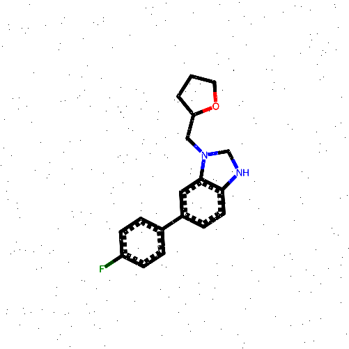 Fc1ccc(-c2ccc3c(c2)N(CC2CCCO2)CN3)cc1